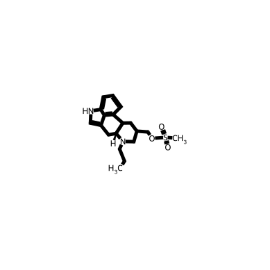 CCCN1CC(COS(C)(=O)=O)CC2c3cccc4[nH]cc(c34)C[C@H]21